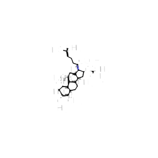 C=C(C)OC1C[C@@]2(C)[C@@H](C[C@@H](O)[C@@H]3[C@@]4(C)C(=O)C[C@@H](C)[C@H](C)[C@@H]4CC[C@@]32C)/C1=C(\CCC=C(C)C)C(=O)O